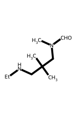 CCNCC(C)(C)CN(C)C=O